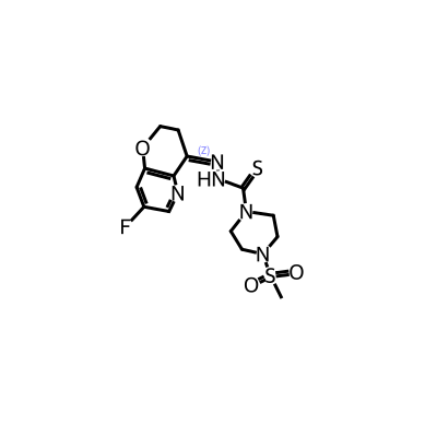 CS(=O)(=O)N1CCN(C(=S)N/N=C2/CCOc3cc(F)cnc32)CC1